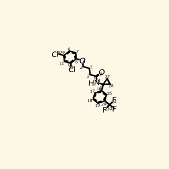 O=C(CCCOc1ccc(Cl)cc1Cl)NC1(c2cccc(C(F)(F)F)c2)CC1